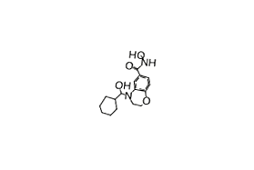 O=C(NO)c1ccc2c(c1)N(C(O)C1CCCCC1)CCO2